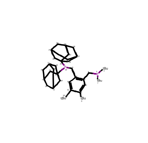 CC(C)(C)c1cc(CP(C(C)(C)C)C(C)(C)C)c(CP(C23CC4CC(CC(C4)C2)C3)C23CC4CC(CC(C4)C2)C3)cc1C(C)(C)C